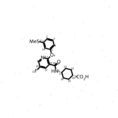 CSc1cccc(Oc2ncc(F)cc2C(=O)N[C@H]2CC[C@@H](C(=O)O)CC2)c1